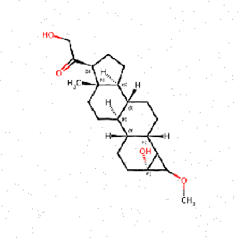 COC1C2[C@H]3CC[C@@H]4[C@H](CC[C@]5(C)[C@@H](C(=O)CO)CC[C@@H]45)[C@H]3CC[C@]12O